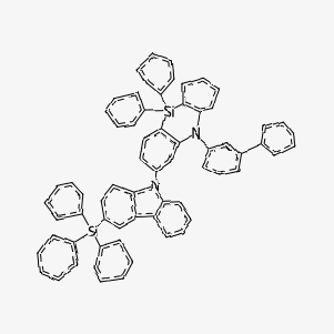 c1ccc(-c2cccc(N3c4ccccc4[Si](c4ccccc4)(c4ccccc4)c4ccc(-n5c6ccccc6c6cc([Si](c7ccccc7)(c7ccccc7)c7ccccc7)ccc65)cc43)c2)cc1